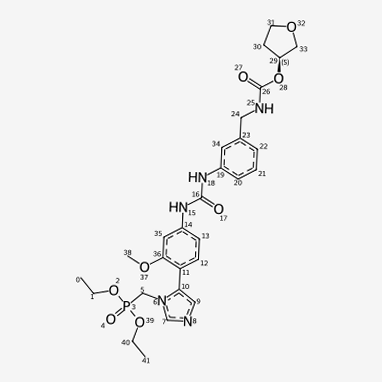 CCOP(=O)(Cn1cncc1-c1ccc(NC(=O)Nc2cccc(CNC(=O)O[C@H]3CCOC3)c2)cc1OC)OCC